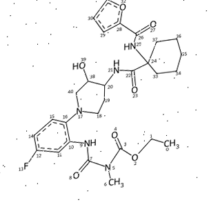 CCOC(=O)N(C)C(=O)Nc1cc(F)ccc1N1CCC(NC(=O)C2(NC(=O)c3ccco3)CCCCC2)C(O)C1